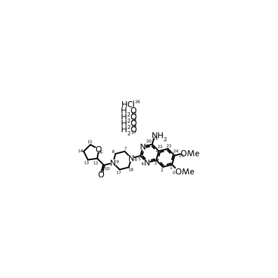 COc1cc2nc(N3CCN(C(=O)C4CCCO4)CC3)nc(N)c2cc1OC.Cl.O.O.O.O